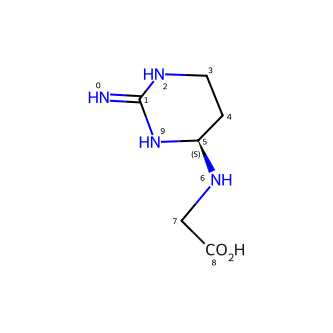 N=C1NCC[C@@H](NCC(=O)O)N1